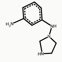 Nc1cccc(NN2CCNC2)c1